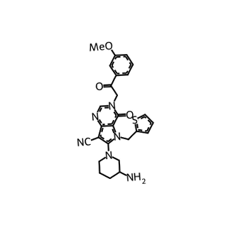 COc1cccc(C(=O)Cn2cnc3c(C#N)c(N4CCCC(N)C4)n(Cc4cccs4)c3c2=O)c1